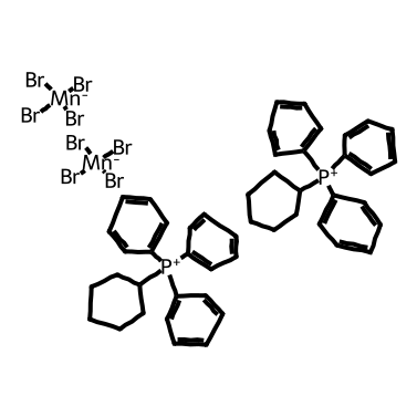 [Br][Mn-]([Br])([Br])[Br].[Br][Mn-]([Br])([Br])[Br].c1ccc([P+](c2ccccc2)(c2ccccc2)C2CCCCC2)cc1.c1ccc([P+](c2ccccc2)(c2ccccc2)C2CCCCC2)cc1